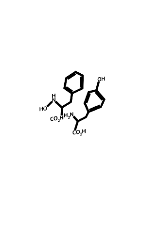 NC(Cc1ccc(O)cc1)C(=O)O.O=C(O)C(Cc1ccccc1)NO